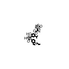 C=CCn1ccc2cc(-n3c(-c4cc(C(C)C)c(OC(=O)c5ncn6c(=O)n(C)nnc56)cc4O)n[nH]c3=O)ccc21